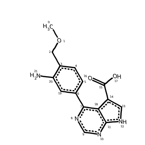 COCc1ccc(-c2ncnc3[nH]cc(C(=O)O)c23)cc1N